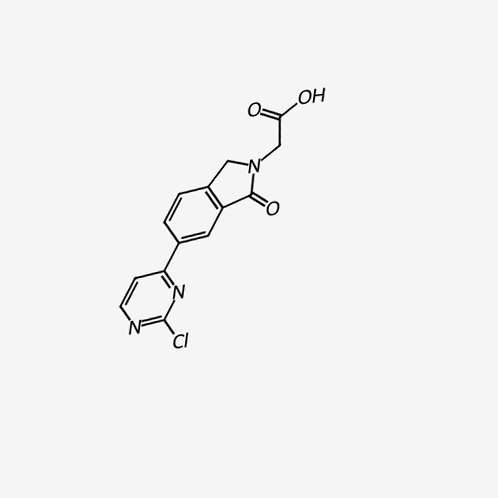 O=C(O)CN1Cc2ccc(-c3ccnc(Cl)n3)cc2C1=O